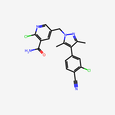 Cc1nn(Cc2cnc(Cl)c(C(N)=O)c2)c(C)c1-c1ccc(C#N)c(Cl)c1